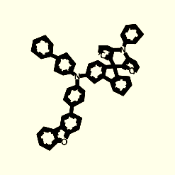 c1ccc(-c2ccc(N(c3ccc(-c4ccc5oc6ccccc6c5c4)cc3)c3ccc4c(c3)-c3ccccc3C43c4ccccc4N(c4ccccc4)c4ccccc43)cc2)cc1